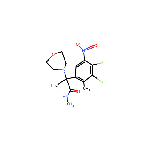 CNC(=O)C(C)(c1cc([N+](=O)[O-])c(F)c(F)c1C)N1CCOCC1